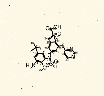 COc1c(N)cc(C(C)(C)C)cc1NS(C)(=O)=O.Cn1c(C(=O)O)cc2cccc(Sc3ccncn3)c21